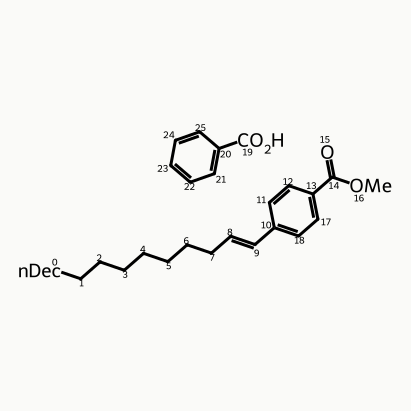 CCCCCCCCCCCCCCCCCC=Cc1ccc(C(=O)OC)cc1.O=C(O)c1ccccc1